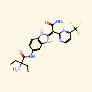 CCC(N)(CC)C(=O)Nc1ccc2c(c1)NC(=C(C(N)=O)c1nccc(C(F)(F)F)n1)N2